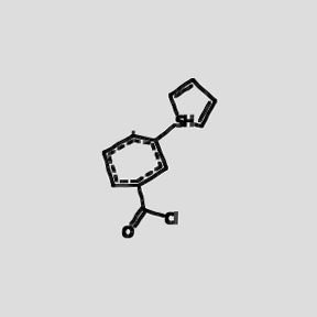 O=C(Cl)c1cc[c]c([SH]2C=CC=C2)c1